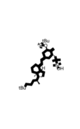 C=C1[C@H](CC(C)(C)[Si](C)(C)O)C/C(=C\C=C2/CCC[C@]3(C)[C@@H]([C@@H](C)CCCC(C)(C)C)CC[C@@H]23)C[C@H]1O[Si](C)(C)C(C)(C)C